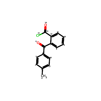 Cc1ccc(C(=O)c2ccccc2C(=O)Cl)cc1